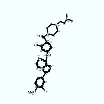 COc1ccc(-c2cnc3c(Nc4ccc(C(=O)N5CCN(CCN(C)C)CC5)c(Cl)c4)nccn23)cc1F